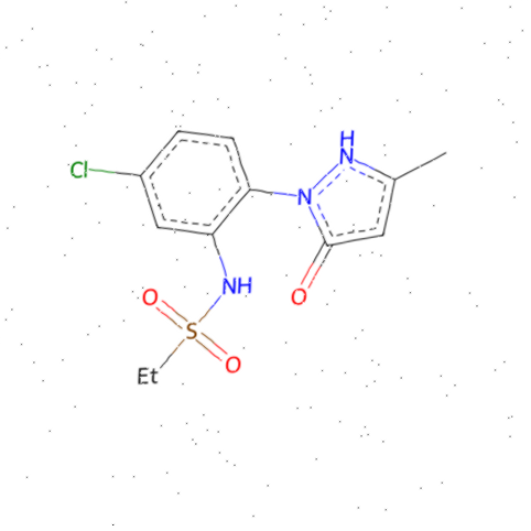 CCS(=O)(=O)Nc1cc(Cl)ccc1-n1[nH]c(C)cc1=O